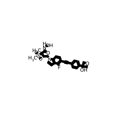 C[C@@](CCn1ccc2c(F)c(C#Cc3ccc(C4(O)COC4)cc3)ccc21)(C(=O)NO)S(C)(=O)=O